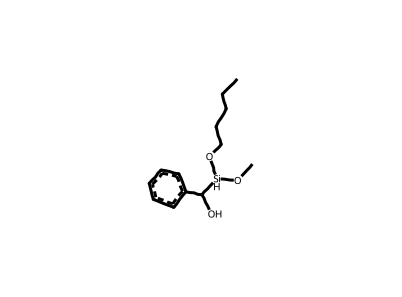 CCCCCO[SiH](OC)C(O)c1ccccc1